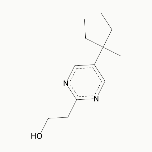 CCC(C)(CC)c1cnc(CCO)nc1